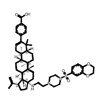 C=C(C)[C@@H]1CC[C@]2(NCCN3CCN(S(=O)(=O)c4ccc5c(c4)OCCO5)CC3)CC[C@]3(C)[C@H](CC[C@@H]4[C@@]5(C)CC=C(c6ccc(C(=O)O)cc6)C(C)(C)[C@@H]5CC[C@]43C)[C@@H]12